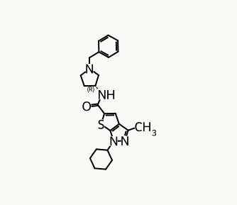 Cc1nn(C2CCCCC2)c2sc(C(=O)N[C@@H]3CCN(Cc4ccccc4)C3)cc12